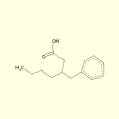 CCCCC(CC(=O)O)Cc1ccccc1